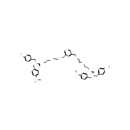 COc1ccc(CN(Cc2ccc(N(C)C)cc2)C(=O)OCCOCCOCc2cncc(COCCOCCOC(=O)N(Cc3ccc(OC)cc3)Cc3ccc(N(C)C)cc3)c2)cc1